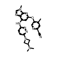 Cc1cc(C#N)ncc1Oc1cc(Nc2ccc(N3CC(N(C)C)C3)nn2)c2ncn(C)c2n1